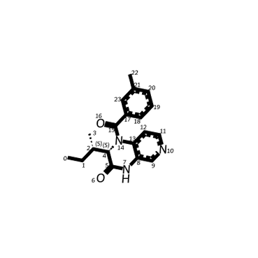 CC[C@H](C)[C@H]1C(=O)Nc2cnccc2N1C(=O)c1cccc(C)c1